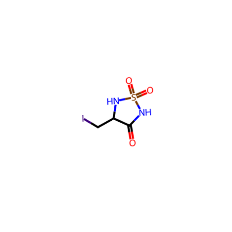 O=C1NS(=O)(=O)NC1CI